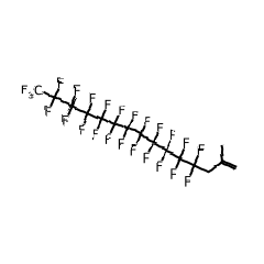 C=C(C)CC(F)(F)C(F)(F)C(F)(F)C(F)(F)C(F)(F)C(F)(F)C(F)(F)C(F)(F)C(F)(F)C(F)(F)C(F)(F)C(F)(F)F